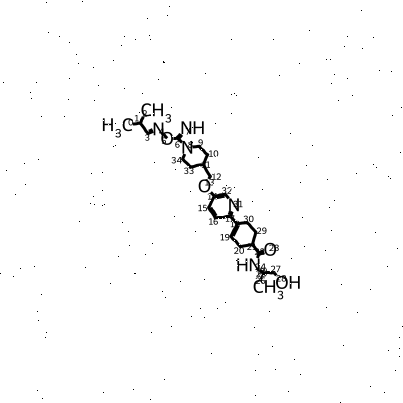 CC(C)C=NOC(=N)N1CCC(COc2ccc(C3=CCC(C(=O)N[C@H](C)CO)CC3)nc2)CC1